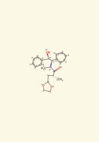 C[C@H](CC1OCCO1)C(=O)N(C)[C@H](c1ccccc1)[C@H](O)c1ccccc1